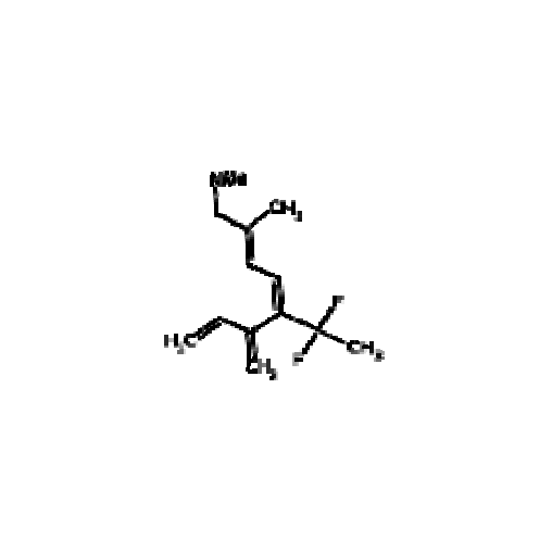 C=CC(=C)/C(=C\C=C(/C)CNC)C(C)(F)F